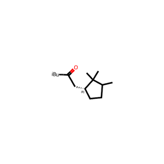 CCC(C)C(=O)C[C@H]1CCC(C)C1(C)C